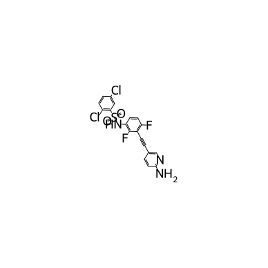 Nc1ccc(C#Cc2c(F)ccc(NS(=O)(=O)c3cc(Cl)ccc3Cl)c2F)cn1